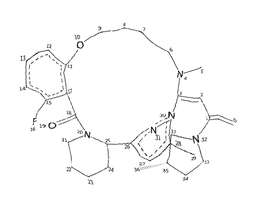 C=C(/C=C1/N(C)CCCCOc2cccc(F)c2C(=O)N2CCCCC2c2cc(C)n1n2)N1CC[C@H](C)C1